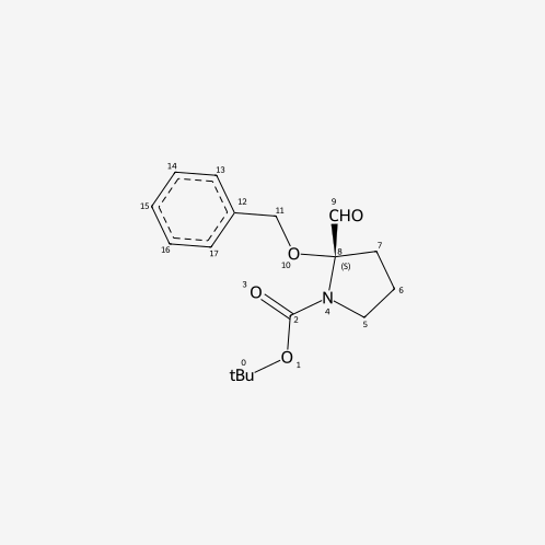 CC(C)(C)OC(=O)N1CCC[C@@]1(C=O)OCc1ccccc1